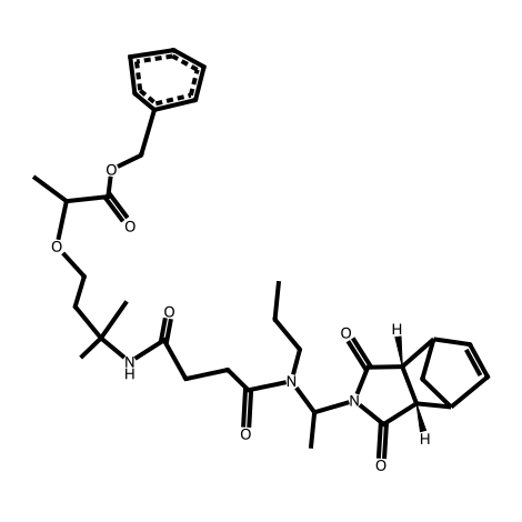 CCCN(C(=O)CCC(=O)NC(C)(C)CCOC(C)C(=O)OCc1ccccc1)C(C)N1C(=O)[C@@H]2C3C=CC(C3)[C@@H]2C1=O